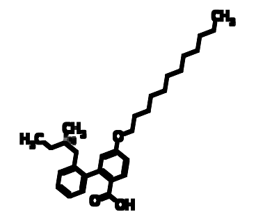 CCCCCCCCCCCCOc1ccc(C(=O)O)c(-c2ccccc2C[C@@H](C)CC)c1